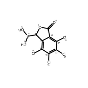 O=C1OC(B(O)O)c2c(Cl)c(Cl)c(Cl)c(Cl)c21